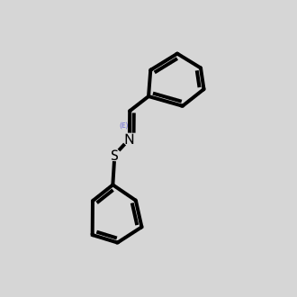 C(=N\Sc1ccccc1)/c1ccccc1